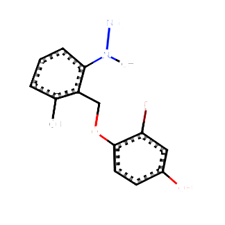 Cc1cccc(N(C)N)c1COc1ccc(O)cc1Br